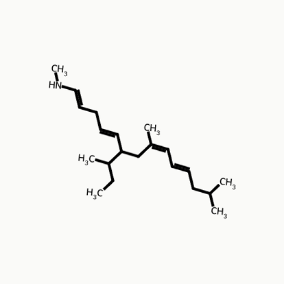 CCC(C)C(C=CCC=CNC)C/C(C)=C\C=CCC(C)C